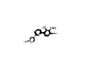 CCOc1c(OC)ccc(-c2cccc([C@H]3COB(O)C3)n2)c1C#N